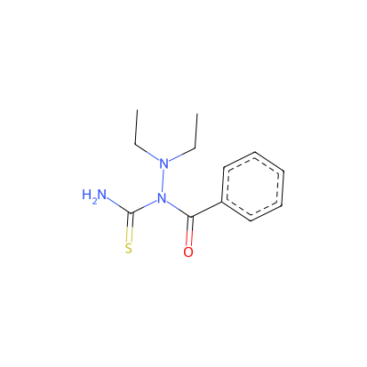 CCN(CC)N(C(=O)c1ccccc1)C(N)=S